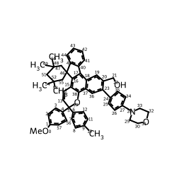 COc1ccc(C2(c3ccc(C)cc3)C=Cc3c4c(c5cc(CO)c(-c6ccc(N7CCOCC7)cc6)cc5c3O2)-c2ccccc2C42CC(C)(C)CC(C)(C)C2)cc1